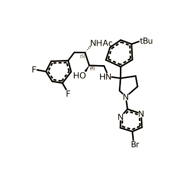 CC(=O)N[C@@H](Cc1cc(F)cc(F)c1)[C@H](O)CNC1(c2cccc(C(C)(C)C)c2)CCN(c2ncc(Br)cn2)C1